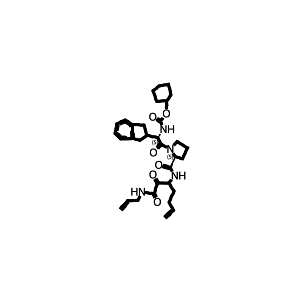 C=CCCC(NC(=O)[C@@H]1CCCN1C(=O)[C@@H](NC(=O)OC1CCCCC1)C1Cc2ccccc2C1)C(=O)C(=O)NCC=C